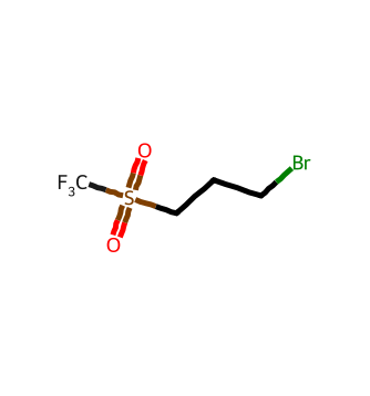 O=S(=O)(CCCBr)C(F)(F)F